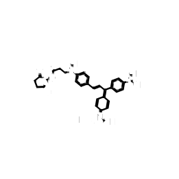 CN(C)c1ccc(C(/C=C/c2ccc(N(C)CCC(=O)ON3C(=O)CCC3=O)cc2)=C2C=CC(=[N+](C)C)C=C2)cc1